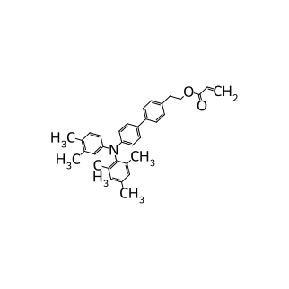 C=CC(=O)OCCc1ccc(-c2ccc(N(c3ccc(C)c(C)c3)c3c(C)cc(C)cc3C)cc2)cc1